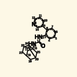 O=C(Nc1ccccc1-c1cccnc1)NC12CC3CC(CC(C3)C1)C2